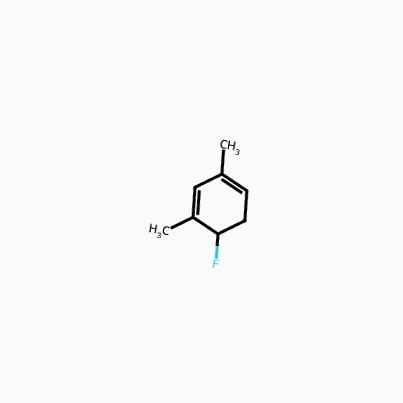 CC1=CCC(F)C(C)=C1